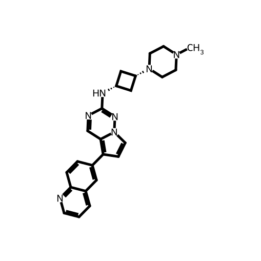 CN1CCN([C@H]2C[C@@H](Nc3ncc4c(-c5ccc6ncccc6c5)ccn4n3)C2)CC1